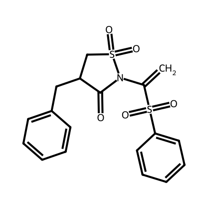 C=C(N1C(=O)C(Cc2ccccc2)CS1(=O)=O)S(=O)(=O)c1ccccc1